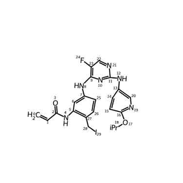 C=CC(=O)Nc1cc(Nc2nc(Nc3ccc(OC(C)C)nc3)ncc2F)ccc1CI